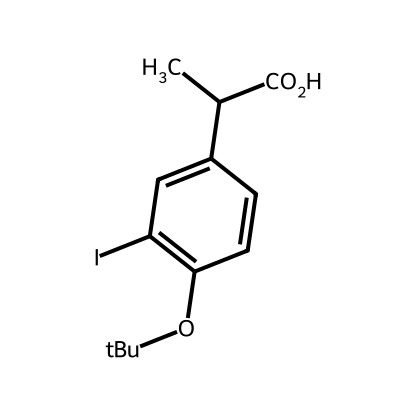 CC(C(=O)O)c1ccc(OC(C)(C)C)c(I)c1